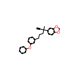 C#CC(C)(CCCc1cccc(Oc2ccccc2)c1)c1ccc2c(c1)OCO2